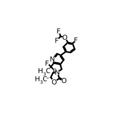 C[C@@H]1CN(Cc2cc(-c3ccc(F)c(OC(F)F)c3)cnc2C(C)(F)F)C(=O)O1